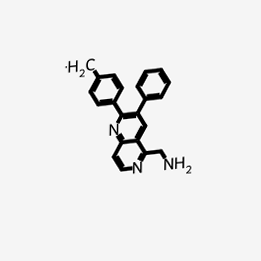 [CH2]c1ccc(-c2nc3ccnc(CN)c3cc2-c2ccccc2)cc1